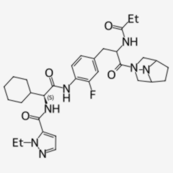 CCC(=O)NC(Cc1ccc(NC(=O)[C@@H](NC(=O)c2ccnn2CC)C2CCCCC2)c(F)c1)C(=O)N1CC2CCC(C1)N2C